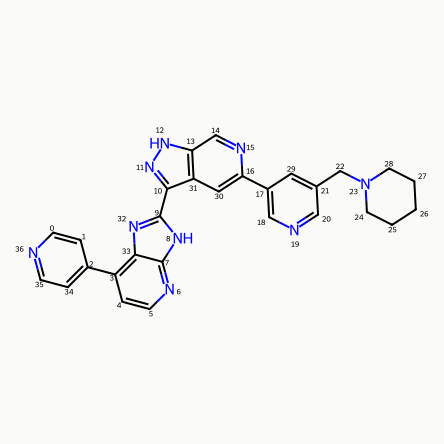 c1cc(-c2ccnc3[nH]c(-c4n[nH]c5cnc(-c6cncc(CN7CCCCC7)c6)cc45)nc23)ccn1